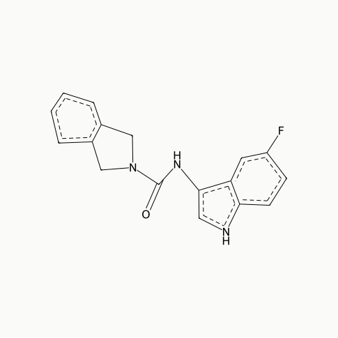 O=C(Nc1c[nH]c2ccc(F)cc12)N1Cc2ccccc2C1